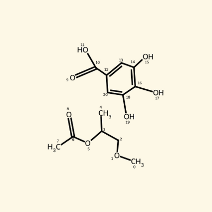 COCC(C)OC(C)=O.O=C(O)c1cc(O)c(O)c(O)c1